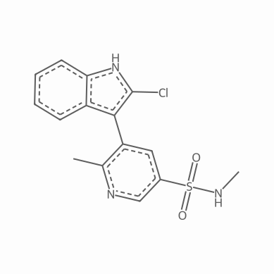 CNS(=O)(=O)c1cnc(C)c(-c2c(Cl)[nH]c3ccccc23)c1